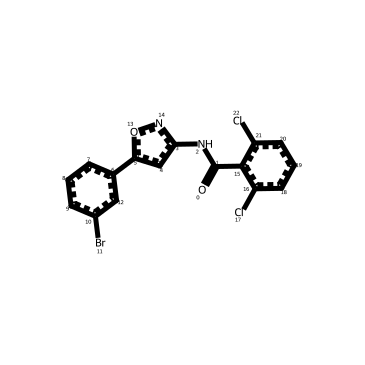 O=C(Nc1cc(-c2cccc(Br)c2)on1)c1c(Cl)cccc1Cl